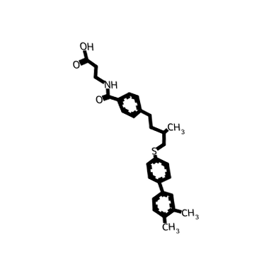 Cc1ccc(-c2ccc(SCC(C)CCc3ccc(C(=O)NCCC(=O)O)cc3)cc2)cc1C